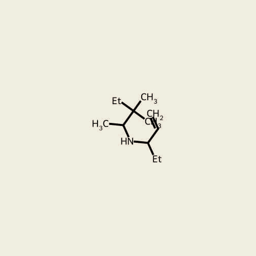 C=CC(CC)NC(C)C(C)(C)CC